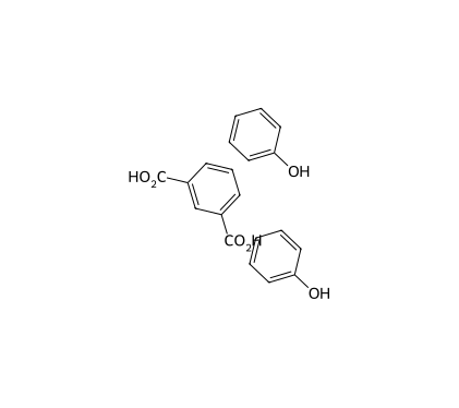 O=C(O)c1cccc(C(=O)O)c1.Oc1ccccc1.Oc1ccccc1